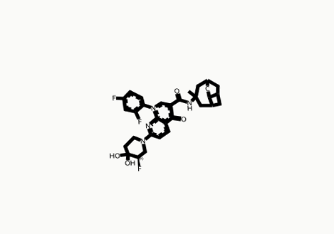 CC1(NC(=O)c2cn(-c3ccc(F)cc3F)c3nc(N4CCC(O)(O)[C@H](F)C4)ccc3c2=O)CC2CC3CC(C1)C3C2